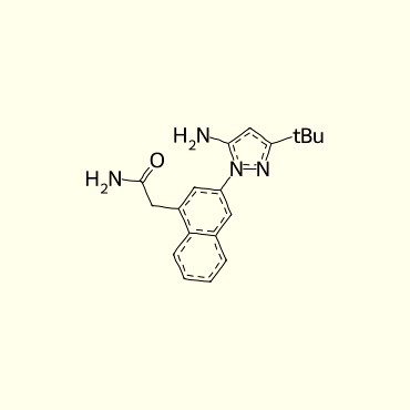 CC(C)(C)c1cc(N)n(-c2cc(CC(N)=O)c3ccccc3c2)n1